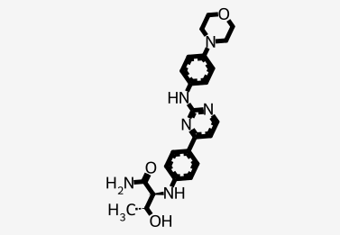 C[C@@H](O)[C@H](Nc1ccc(-c2ccnc(Nc3ccc(N4CCOCC4)cc3)n2)cc1)C(N)=O